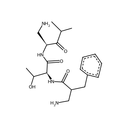 CC(C)C(=O)[C@H](CN)NC(=O)[C@@H](NC(=O)C(CN)Cc1ccccc1)C(C)O